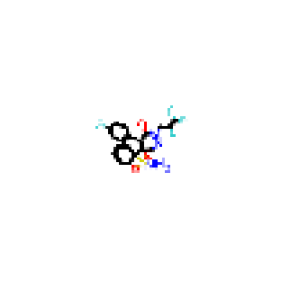 NS(=O)(=O)C1(c2cnn(CC(F)=C(F)F)c(=O)c2-c2ccc(F)cc2)C=CC=CC1